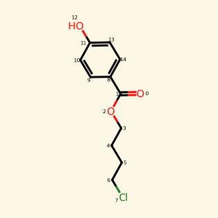 O=C(OCCCCCl)c1ccc(O)cc1